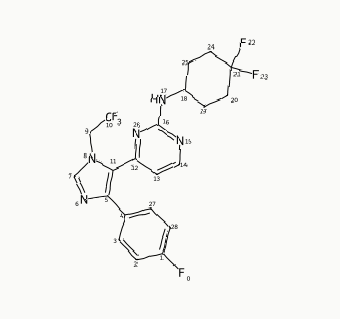 Fc1ccc(-c2ncn(CC(F)(F)F)c2-c2ccnc(NC3CCC(F)(F)CC3)n2)cc1